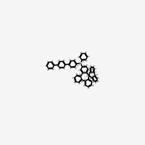 c1ccc(-c2ccc(-c3ccc(N(c4ccccc4)c4ccc5c(c4)-c4ccccc4-c4ccccc4C54c5ccccc5-c5ccccc54)cc3)cc2)cc1